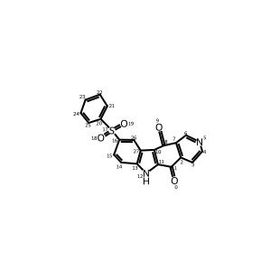 O=C1c2ccncc2C(=O)c2c1[nH]c1ccc(S(=O)(=O)c3ccccc3)cc21